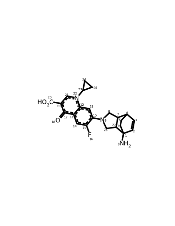 NC12C=CC(CC1)C1CN(c3cc4c(cc3F)c(=O)c(C(=O)O)cn4C3CC3)CC12